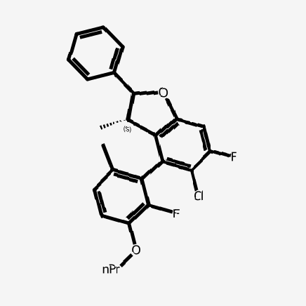 CCCOc1ccc(C)c(-c2c(Cl)c(F)cc3c2[C@H](C)C(c2ccccc2)O3)c1F